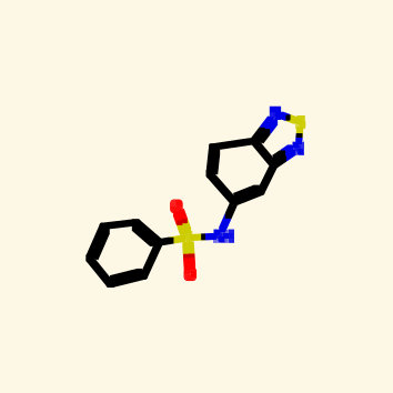 O=S(=O)(Nc1ccc2nsnc2c1)c1ccccc1